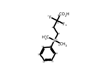 C[Si](C)(CCC(F)(F)C(=O)O)c1ccccc1